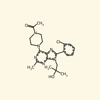 CC(=O)N1CCN(c2nc(C)nc3c2nc(-c2ccccc2Cl)n3CC(C)(C)O)CC1